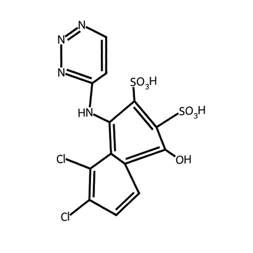 O=S(=O)(O)c1c(S(=O)(=O)O)c(Nc2ccnnn2)c2c(Cl)c(Cl)ccc2c1O